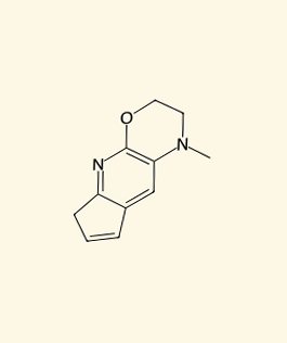 CN1CCOc2nc3c(cc21)C=CC3